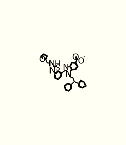 COC(=O)c1ccc2c(c1)nc(-c1cccc3nc(NCc4ccco4)sc13)n2CCC(c1ccccc1)c1ccccc1